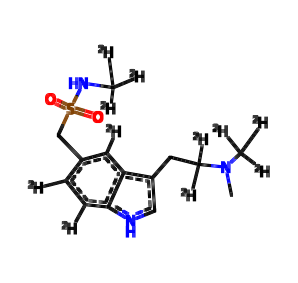 [2H]c1c(CS(=O)(=O)NC([2H])([2H])[2H])c([2H])c2c(CC([2H])([2H])N(C)C([2H])([2H])[2H])c[nH]c2c1[2H]